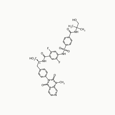 Cn1c(=O)n(-c2ccc(C[C@H](NC(=O)c3cc(F)c(NS(=O)(=O)c4ccc(C(=O)NC(C)(C)CO)cc4)cc3F)C(=O)O)cc2)c(=O)c2ccncc21